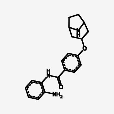 Nc1ccccc1NC(=O)c1ccc(OC2CC3CCC(C2)N3)cc1